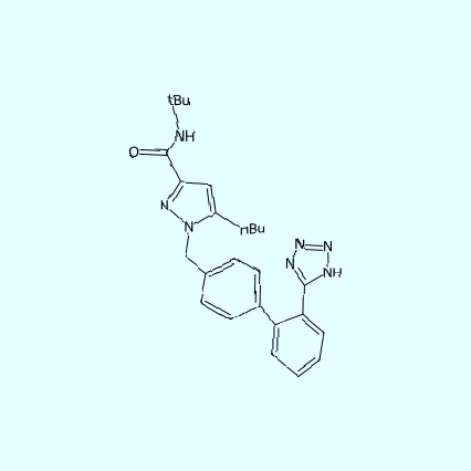 CCCCc1cc(C(=O)NC(C)(C)C)nn1Cc1ccc(-c2ccccc2-c2nnn[nH]2)cc1